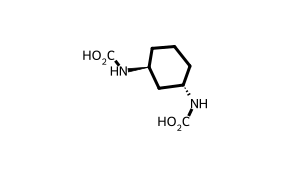 O=C(O)N[C@H]1CCC[C@H](NC(=O)O)C1